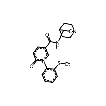 CCSc1ccccc1-n1cc(C(=O)NC2CN3CCC2CC3)ccc1=O